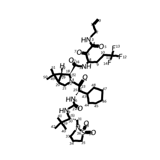 C=CCNC(=O)C(=O)C(CCC(F)(F)F)NC(=O)[C@@H]1[C@@H]2C(CN1C(=O)[C@@H](NC(=O)N[C@H](CN1CCCS1(=O)=O)C(C)(C)C)C1CCCCC1)C2(C)C